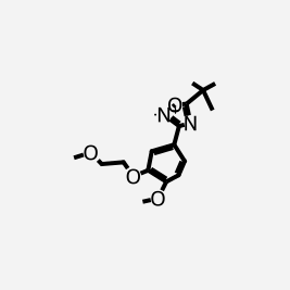 COCCOc1cc(C2=[N+]OC(C(C)(C)C)=N2)ccc1OC